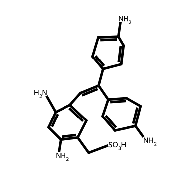 Nc1ccc(C(=Cc2cc(CS(=O)(=O)O)c(N)cc2N)c2ccc(N)cc2)cc1